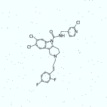 O=C(NCc1ccnc(Cl)c1)n1c2c(c3cc(Cl)c(Cl)cc31)CN(CC=Cc1ccc(F)cc1F)CC2